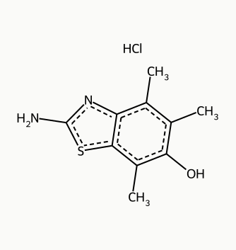 Cc1c(O)c(C)c2sc(N)nc2c1C.Cl